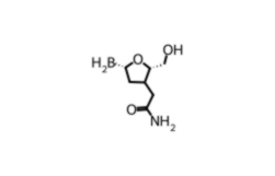 B[C@H]1CC(CC(N)=O)[C@@H](CO)O1